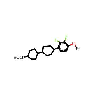 CCCCCCCCC1CCC(C2CCC(c3ccc(OCC)c(F)c3F)CC2)CC1